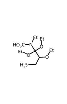 CCOC(C[SiH3])C(OCC)(OCC)N(CC)C(=O)O